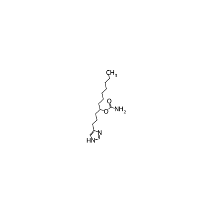 CCCCCCCC(CCCc1c[nH]cn1)OC(N)=O